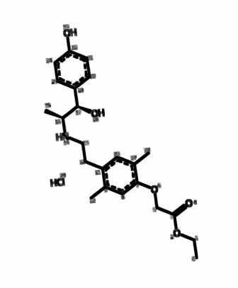 CCOC(=O)COc1cc(C)c(CCN[C@@H](C)[C@H](O)c2ccc(O)cc2)cc1C.Cl